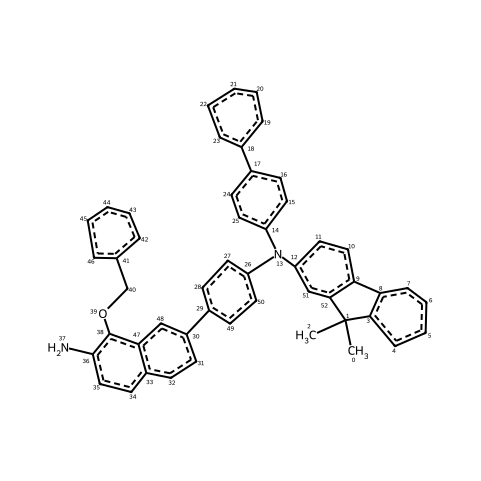 CC1(C)c2ccccc2-c2ccc(N(c3ccc(-c4ccccc4)cc3)c3ccc(-c4ccc5ccc(N)c(OCc6ccccc6)c5c4)cc3)cc21